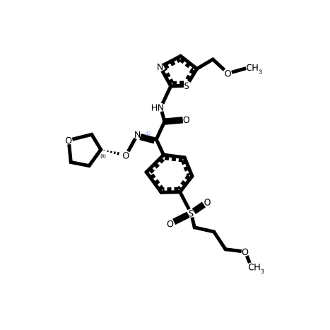 COCCCS(=O)(=O)c1ccc(/C(=N\O[C@@H]2CCOC2)C(=O)Nc2ncc(COC)s2)cc1